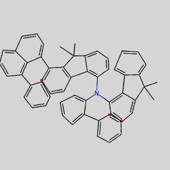 CC1(C)c2ccccc2-c2c(N(c3ccccc3-c3ccccc3)c3cccc4c3-c3cccc(-c5cccc6cccc(-c7ccccc7)c56)c3C4(C)C)cccc21